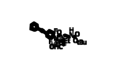 CCC(CO)(CC=O)N(CCNC(=O)OC(C)(C)C)C(=O)N(C)c1c(F)cc(C#Cc2ccccc2)cc1F